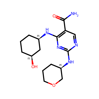 NC(=O)c1cnc(N[C@@H]2CCCOC2)nc1N[C@@H]1CCC[C@H](O)C1